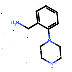 NCc1ccccc1N1C[CH]NCC1